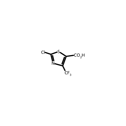 O=C(O)c1sc(Cl)nc1C(F)(F)F